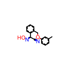 Cc1cccc(OCc2ccccc2/C(C#N)=N\O)c1